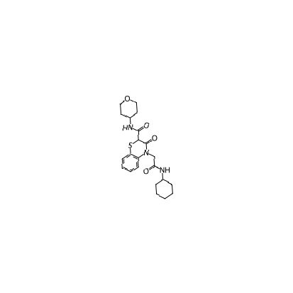 O=C(CN1C(=O)C(C(=O)NC2CCOCC2)Sc2ccccc21)NC1CCCCC1